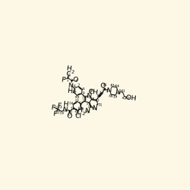 C=C(F)C(=O)Nc1ccc(-c2c(-c3ccc(C(=O)NCC(F)(F)F)c(Cl)c3)c3c(N)ncc(C#CC(=O)N4CCN(CCO)CC4)c3n2C)cc1